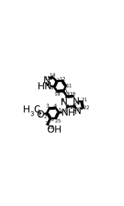 COc1ccc(Nc2nc(-c3ccc4cn[nH]c4c3)cn3ccnc23)cc1CO